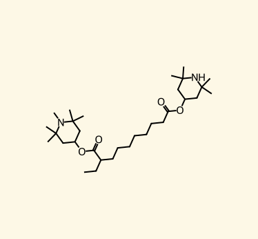 CCC(CCCCCCCC(=O)OC1CC(C)(C)NC(C)(C)C1)C(=O)OC1CC(C)(C)N(C)C(C)(C)C1